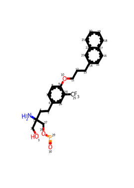 NC(CO)(CCc1ccc(OCCCc2ccc3ccccc3c2)c(C(F)(F)F)c1)COP=O